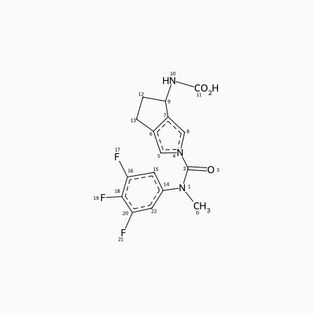 CN(C(=O)n1cc2c(c1)C(NC(=O)O)CC2)c1cc(F)c(F)c(F)c1